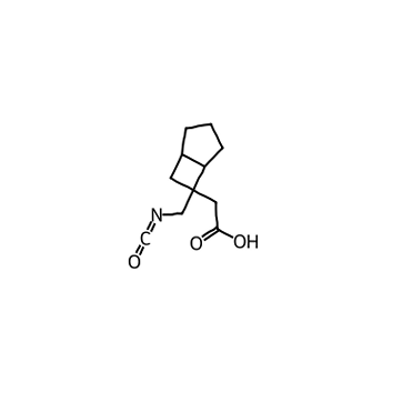 O=C=NCC1(CC(=O)O)CC2CCCC21